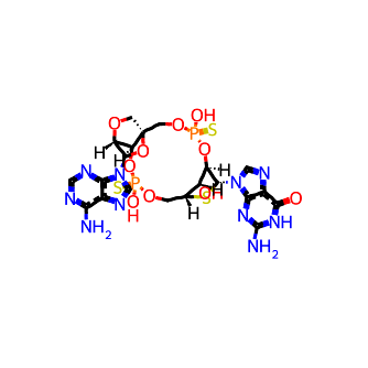 Nc1nc2c(ncn2[C@@H]2S[C@@H]3COP(O)(=S)O[C@H]4[C@H]5OC[C@]4(COP(O)(=S)O[C@@H]2[C@@H]3O)O[C@H]5n2cnc3c(N)ncnc32)c(=O)[nH]1